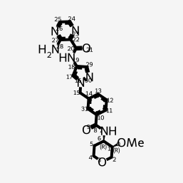 CO[C@H]1COCC[C@H]1NC(=O)c1cccc(Cn2cc(NC(=O)c3nccnc3N)cn2)c1